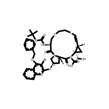 CC(C)(C)OC(=O)N[C@H]1CCCCC/C=C\[C@@H]2C[C@@]2(C(=O)O)N(C(=O)O)C(=O)[C@@H]2C[C@@H](Oc3nc4ccccc4c(OCc4ccccc4)c3Br)CN2C1=O